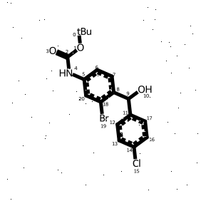 CC(C)(C)OC(=O)Nc1ccc(C(O)c2ccc(Cl)cc2)c(Br)c1